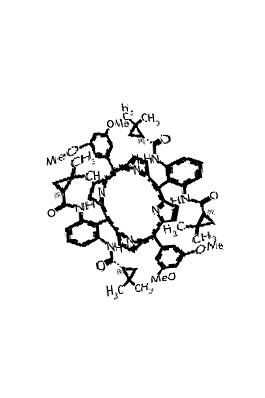 COc1cc(OC)cc(-c2c3nc(c(-c4c(NC(=O)[C@H]5CC5(C)C)cccc4NC(=O)[C@@H]4CC4(C)C)c4ccc([nH]4)c(-c4cc(OC)cc(OC)c4)c4nc(c(-c5c(NC(=O)[C@H]6CC6(C)C)cccc5NC(=O)[C@@H]5CC5(C)C)c5ccc2[nH]5)CC4)C=C3)c1